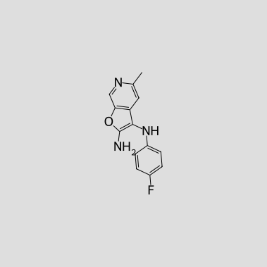 Cc1cc2c(Nc3ccc(F)cc3)c(N)oc2cn1